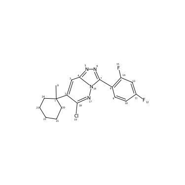 CC1(c2cc3nnc(-c4ccc(F)cc4F)n3nc2Cl)CCCCC1